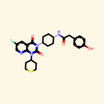 O=C(Cc1ccc(O)cc1)N[C@H]1CC[C@@H](n2c(=O)c3cc(F)cnc3n(C3CCSCC3)c2=O)CC1